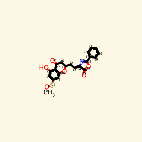 COSc1cc(O)c2c(c1)OC(CC=C1N=C(c3ccccc3)OC1=O)CC2=O